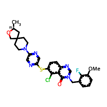 COc1cccc(Cn2cnc3ccc(Sc4cnc(N5CCC6(CC5)CO[C@@H](C)C6)cn4)c(Cl)c3c2=O)c1F